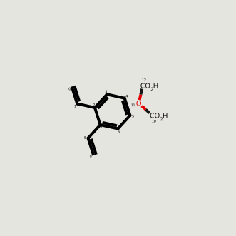 C=Cc1ccccc1C=C.O=C(O)OC(=O)O